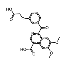 COc1cc2c(C(=O)O)cnc(C(=O)c3cccc(OCC(=O)O)c3)c2cc1OC